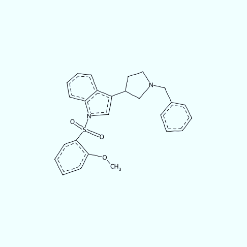 COc1ccccc1S(=O)(=O)n1cc(C2CCN(Cc3ccccc3)C2)c2ccccc21